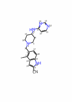 Cc1c(CN2CCC(Nc3ccncn3)CC2)ccc2[nH]c(C#N)cc12